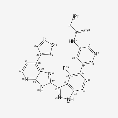 CC(C)CC(=O)Nc1cncc(-c2ncc3[nH]nc(-c4nc5c(-c6ccsc6)ccnc5[nH]4)c3c2F)c1